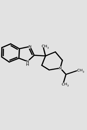 CC(C)N1CCC(C)(c2nc3ccccc3[nH]2)CC1